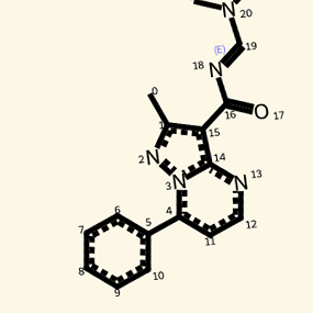 Cc1nn2c(-c3ccccc3)ccnc2c1C(=O)/N=C/N(C)C